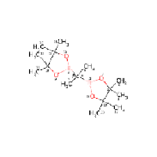 CC1(C)O[B]([Ac]([CH3])([CH3])[B]2OC(C)(C)C(C)(C)O2)OC1(C)C